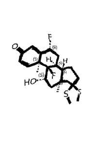 CSC1(SC)CC[C@H]2[C@@H]3C[C@@H](F)C4=CC(=O)C=C[C@]4(C)C3(F)[C@@H](O)C[C@@]21C